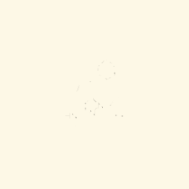 C=CC(=O)n1nc(NC2CC2)c2c1CC(c1ccccc1)(C1CCCCC1)C=C2